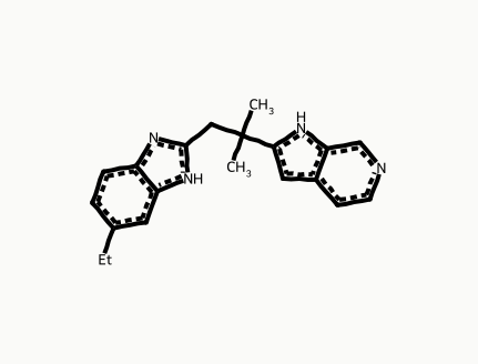 CCc1ccc2nc(CC(C)(C)c3cc4ccncc4[nH]3)[nH]c2c1